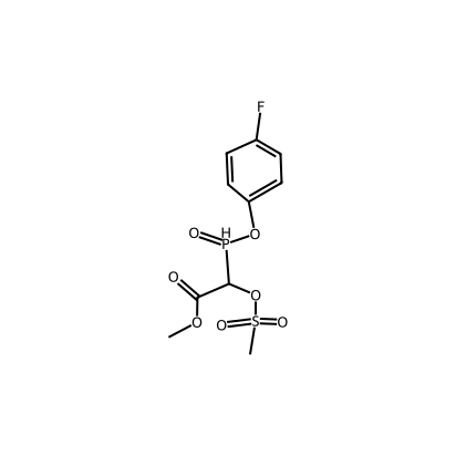 COC(=O)C(OS(C)(=O)=O)[PH](=O)Oc1ccc(F)cc1